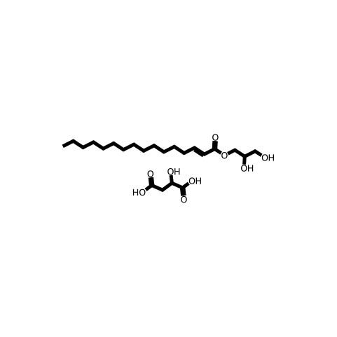 CCCCCCCCCCCCCC=CC(=O)OCC(O)CO.O=C(O)CC(O)C(=O)O